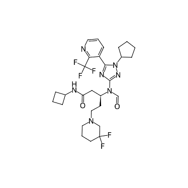 O=CN(c1nc(-c2cccnc2C(F)(F)F)n(C2CCCC2)n1)[C@@H](CCN1CCCC(F)(F)C1)CC(=O)NC1CCC1